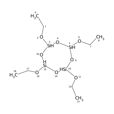 CCO[SiH]1O[SiH](OCC)O[SiH](OCC)O[SiH](OCC)O1